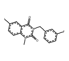 Cn1c(=O)n(Cc2cccc(F)c2)c(=O)c2cc(I)ccc21